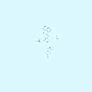 C#Cc1c(F)ccc2cc(O)cc(-c3ncc4c(N5C[C@@H]6C(N)[C@@H]6C5)nc(OC[C@@]56CCCN5C[C@H](F)C6)nc4c3F)c12.O=C(O)C(F)(F)F.O=C(O)C(F)(F)F